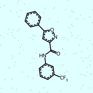 O=C(Nc1cccc(C(F)(F)F)c1)c1cc(-c2ccccc2)on1